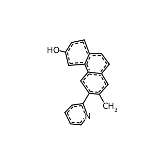 Cc1cc2ccc3ccc(O)cc3c2cc1-c1ccccn1